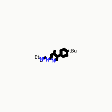 CCN(C)C=Nc1cc(C)c(-c2ccc(C(C)(C)C)cc2)cn1